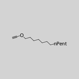 C#COCCCCCCCCCCCC